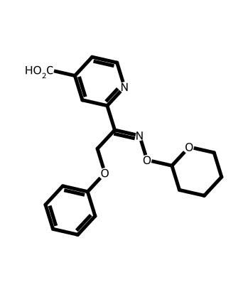 O=C(O)c1ccnc(/C(COc2ccccc2)=N/OC2CCCCO2)c1